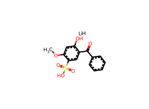 COc1cc(O)c(C(=O)c2ccccc2)cc1S(=O)(=O)O.[LiH]